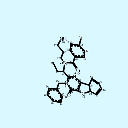 CCC(c1nc2c(c(=O)n1Cc1ccccc1)OC1C=CC=CC21)N(CCCN)C(=O)c1ccc(C)cc1